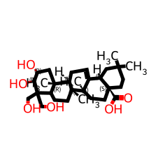 CC1(C)CC[C@]2(C(=O)O)CC[C@]3(C)C(=CC[C@@H]4[C@@]5(C)C[C@@H](O)[C@H](O)C(CO)(CO)C5CC[C@]43C)[C@H]2C1